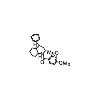 COc1ccc(C(=O)N2CC[C@H](c3ccccc3)[C@H]3CCCC[C@H]32)c(OC)n1